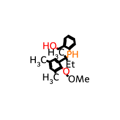 CCC(C)(Pc1ccccc1CO)c1cc(C)cc(C)c1OCOC